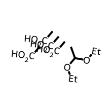 CC(=O)O.CC(=O)O.CC(=O)O.CC(=O)O.CCOC(C)OCC